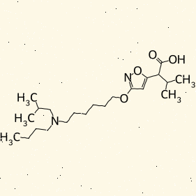 CCCCN(CCCCCCOc1cc(C(C(=O)O)C(C)C)on1)CC(C)C